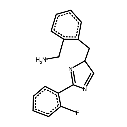 NCc1ccccc1CC1C=NC(c2ccccc2F)=N1